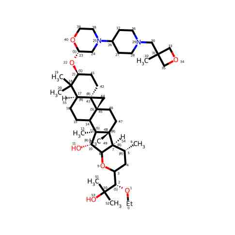 CCO[C@@H](C1C[C@@H](C)[C@H]2C(O1)[C@H](O)[C@@]1(C)C3CC[C@H]4C(C)(C)[C@@H](O[C@H]5CN(C6CCN(CC7(C)COC7)CC6)CCO5)CC[C@@]45C[C@@]35CC[C@]21C)C(C)(C)O